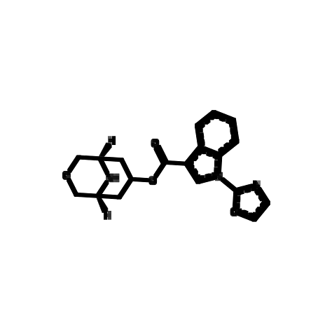 O=C(OC1C[C@H]2COC[C@@H](C1)N2)c1cn(-c2ncco2)c2ccccc12